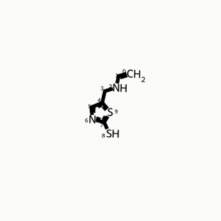 C=CNCc1cnc(S)s1